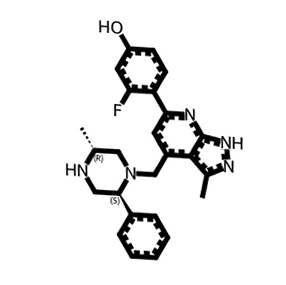 Cc1n[nH]c2nc(-c3ccc(O)cc3F)cc(CN3C[C@@H](C)NC[C@@H]3c3ccccc3)c12